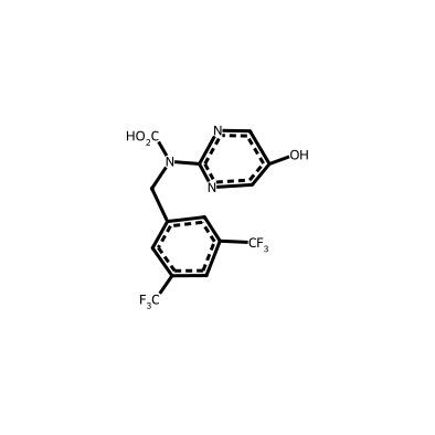 O=C(O)N(Cc1cc(C(F)(F)F)cc(C(F)(F)F)c1)c1ncc(O)cn1